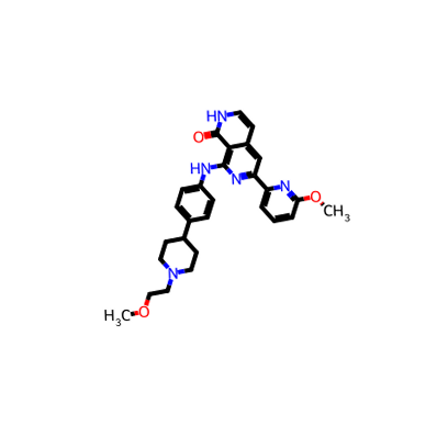 COCCN1CCC(c2ccc(Nc3nc(-c4cccc(OC)n4)cc4cc[nH]c(=O)c34)cc2)CC1